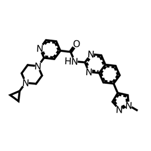 Cn1cc(-c2ccc3cnc(NC(=O)c4ccnc(N5CCN(C6CC6)CC5)c4)nc3c2)cn1